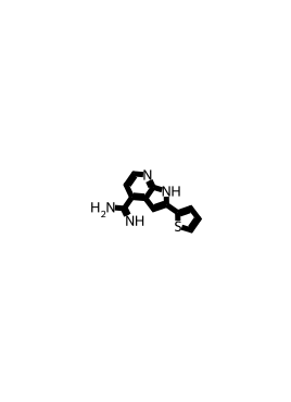 N=C(N)c1ccnc2[nH]c(-c3cccs3)cc12